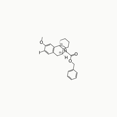 COc1cc2c(cc1I)C[C@H]1C3CCCC[C@@]23CCN1C(=O)OCc1ccccc1